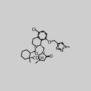 C[C@@H]1CC(=O)N(C[C@@H]2c3c(OCc4cn(C)nn4)ccc(Cl)c3CCN2C(=O)[C@@H]2CCCC[C@]2(C)C(=O)O)C1